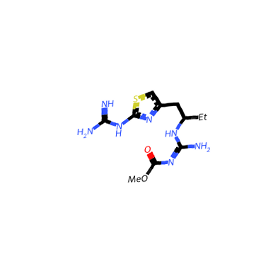 CCC(Cc1csc(NC(=N)N)n1)N/C(N)=N\C(=O)OC